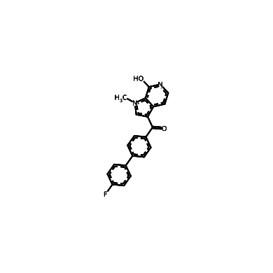 Cn1cc(C(=O)c2ccc(-c3ccc(F)cc3)cc2)c2ccnc(O)c21